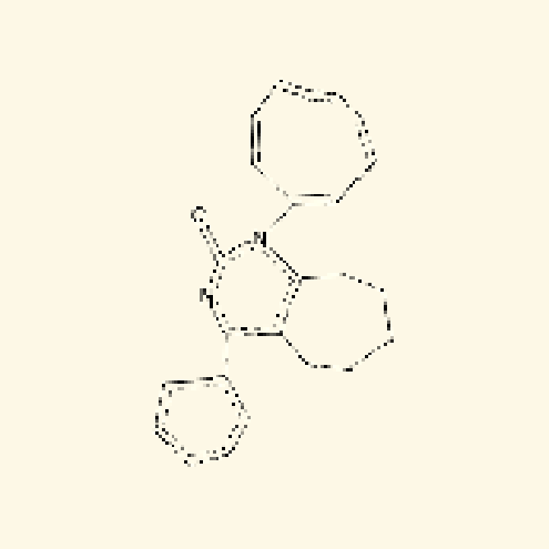 O=c1nc(-c2ccccc2)c2c(n1C1=CC=CC=CC=C1)CCCCC2